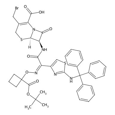 CC(C)(C)OC(=O)C1(O/N=C(\C(=O)N[C@@H]2C(=O)N3C(C(=O)O)=C(CBr)CS[C@H]23)c2csc(NC(c3ccccc3)(c3ccccc3)c3ccccc3)n2)CCC1